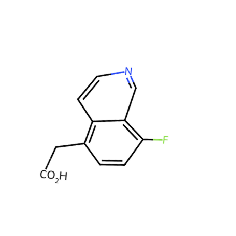 O=C(O)Cc1ccc(F)c2cnccc12